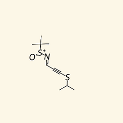 CC(C)SC#C/C=N/[S+]([O-])C(C)(C)C